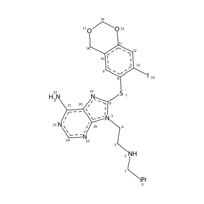 CC(C)CNCCn1c(Sc2cc3c(cc2I)OCOC3)nc2c(N)ncnc21